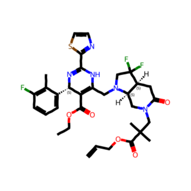 C=CCOC(=O)C(C)(C)CN1C[C@@H]2[C@H](CC1=O)C(F)(F)CN2CC1=C(C(=O)OCC)[C@H](c2cccc(F)c2C)N=C(c2nccs2)N1